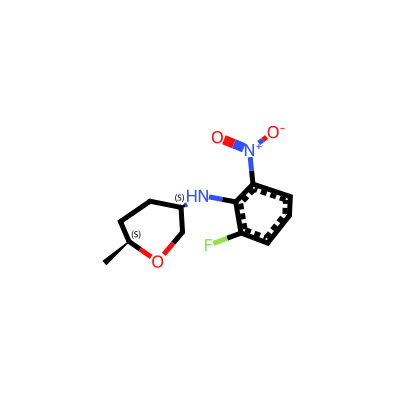 C[C@H]1CC[C@H](Nc2c(F)cccc2[N+](=O)[O-])CO1